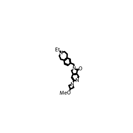 CCN1CCc2ccc(CN3Cc4cc(N5CC(OC)C5)ncc4C3=O)cc2CC1